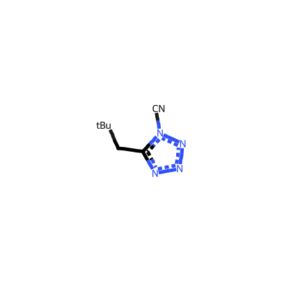 CC(C)(C)Cc1nnnn1C#N